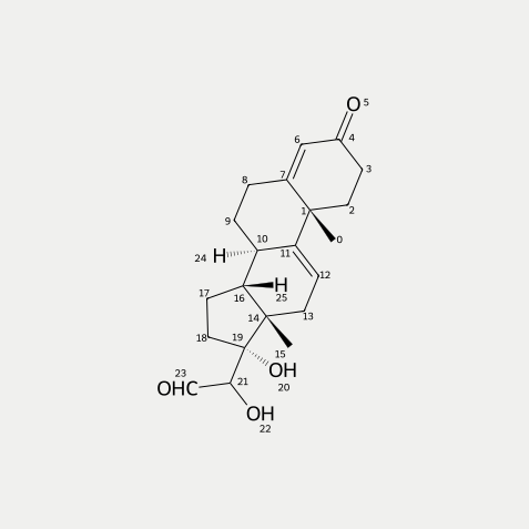 C[C@]12CCC(=O)C=C1CC[C@H]1C2=CC[C@@]2(C)[C@@H]1CC[C@]2(O)C(O)C=O